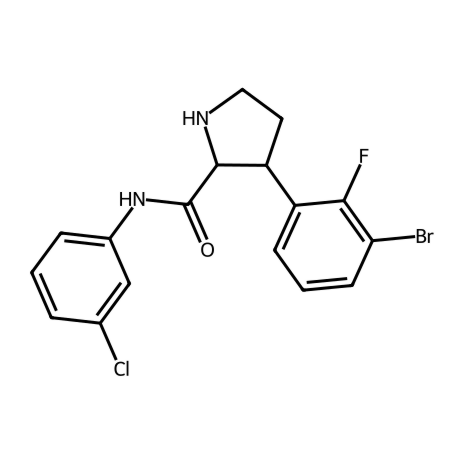 O=C(Nc1cccc(Cl)c1)C1NCCC1c1cccc(Br)c1F